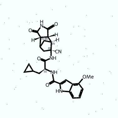 COc1cccc2[nH]c(C(=O)N[C@@H](CC3CC3)C(=O)N[C@@]3(C#N)CC4C[C@H]3[C@H]3C(=O)NC(=O)[C@@H]43)cc12